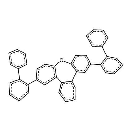 c1ccc(-c2ccccc2-c2ccc3c(c2)-c2ccccc2-c2cc(-c4ccccc4-c4ccccc4)ccc2O3)cc1